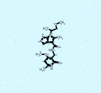 COCC(C)n1c(C)c(C(=O)NCc2c(OC)cc(C)[nH]c2=O)c2cnsc21